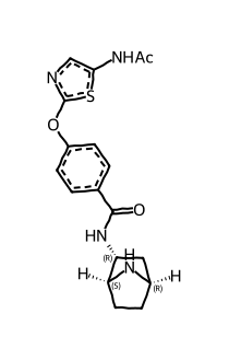 CC(=O)Nc1cnc(Oc2ccc(C(=O)N[C@@H]3C[C@H]4CC[C@@H]3N4)cc2)s1